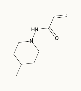 C=CC(=O)NN1CCC(C)CC1